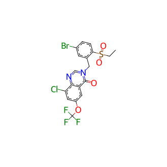 CCS(=O)(=O)c1ccc(Br)cc1Cn1cnc2c(Cl)cc(OC(F)(F)F)cc2c1=O